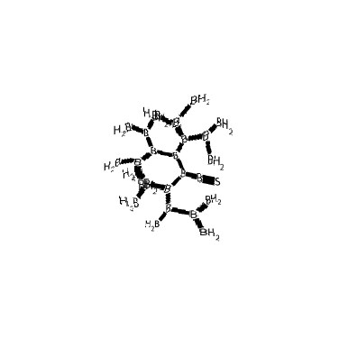 BB(B)B(B)B(B(B)B)B(B=S)B(B(B(B)B)B(B)B)B(B(B)B)B(B)B